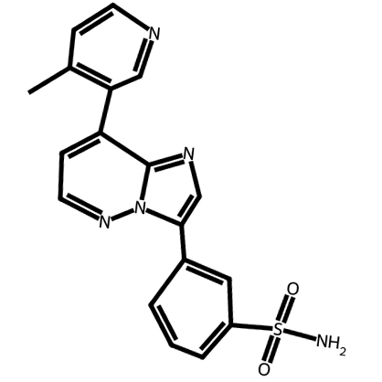 Cc1ccncc1-c1ccnn2c(-c3cccc(S(N)(=O)=O)c3)cnc12